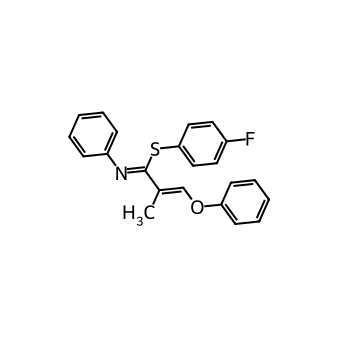 CC(=C\Oc1ccccc1)/C(=N/c1ccccc1)Sc1ccc(F)cc1